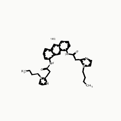 CCCCn1ccnc1CC(=O)Nc1cccc2cc3cccc(NC(=O)Cc4nccn4CCCC)c3cc12.Cl